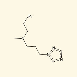 CC(C)CCN(C)CCCn1cncn1